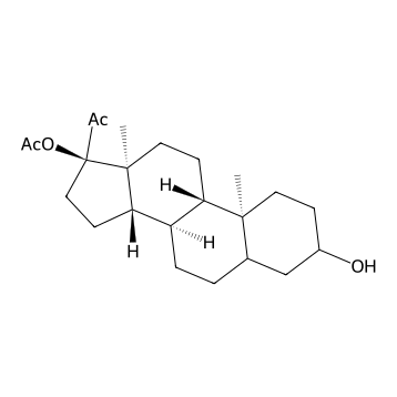 CC(=O)O[C@]1(C(C)=O)CC[C@H]2[C@@H]3CCC4CC(O)CC[C@]4(C)[C@H]3CC[C@@]21C